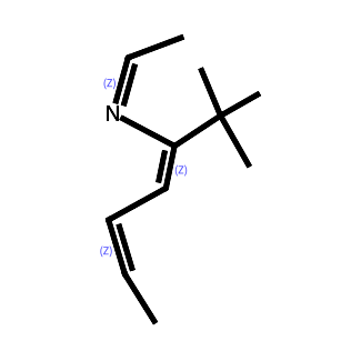 C\C=C/C=C(\N=C/C)C(C)(C)C